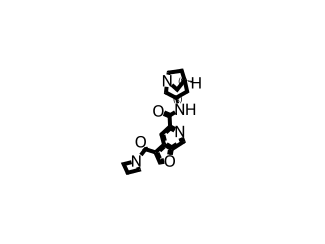 O=C(N[C@@H]1C[C@@H]2CCN(C2)C1)c1cc2c(C(=O)N3CCC3)coc2cn1